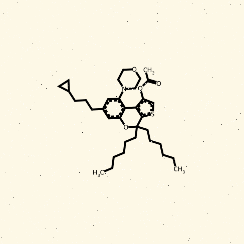 CCCCCCC1(CCCCCC)Oc2cc(CCCC3CC3)cc(N3CCOCC3)c2-c2c(OC(C)=O)csc21